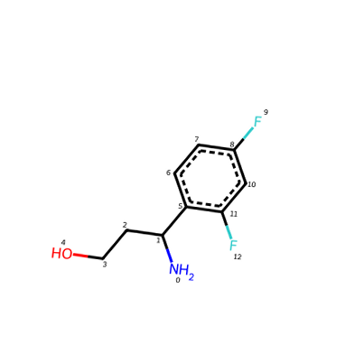 NC(CCO)c1ccc(F)cc1F